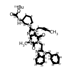 CC#CCn1c(N2CCCC(NC(=O)OC(C)(C)C)C2)nc2c1c(=O)n(Cc1nc3ccccc3n1Cc1ccccc1)c(=O)n2C